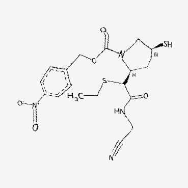 CCSC(C(=O)NCC#N)[C@@H]1C[C@H](S)CN1C(=O)OCc1ccc([N+](=O)[O-])cc1